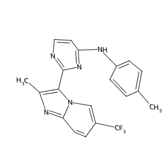 Cc1ccc(Nc2ccnc(-c3c(C)nc4ccc(C(F)(F)F)cn34)n2)cc1